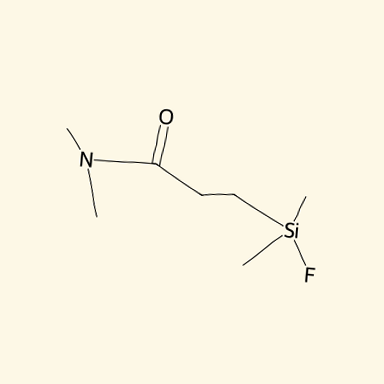 CN(C)C(=O)CC[Si](C)(C)F